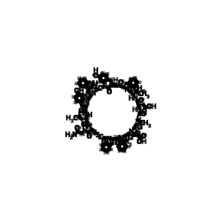 CC(C)C[C@@H]1NC(=O)C(Cc2ccc(O)cc2)NC(=O)[C@H](Cc2c[nH]c3ccccc23)NC(=O)CN2C(=O)[C@H](Cc3ccc(O)cc32)NC(=O)[C@H](Cc2ccccc2)N(C)C(=O)[C@H](C(C)C)NC(=O)[C@H](CC(=O)O)NC(=O)CN(C)C(=O)[C@H](CCC(=O)O)N(C)C(=O)[C@H](Cc2ccccc2)N(C)C(=O)[C@H](Cc2ccccc2)NC(=O)CSC[C@@H](C(=O)NCC(N)=O)NC1=O